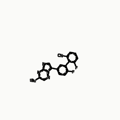 [C-]#[N+]c1cccc(F)c1-c1cc(-c2cnc3nc(C(C)(C)C)cnn23)ccc1F